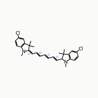 CN1/C(=C/C=C/C=C/C=C/C2N(C)c3ccc(Cl)cc3C2(C)C)C(C)(C)c2cc(Cl)ccc21